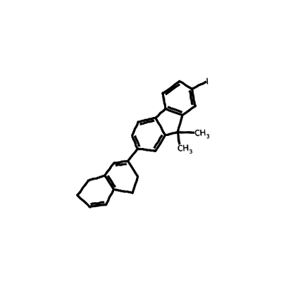 CC1(C)c2cc(I)ccc2-c2ccc(C3=CC4=C(C=CCC4)CC3)cc21